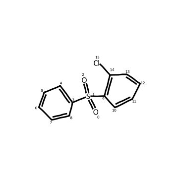 O=S(=O)(c1ccccc1)c1[c]cccc1Cl